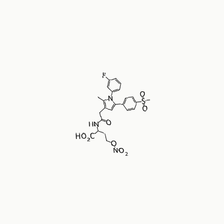 Cc1c(CC(=O)NC(CCO[N+](=O)[O-])C(=O)O)cc(-c2ccc(S(C)(=O)=O)cc2)n1-c1cccc(F)c1